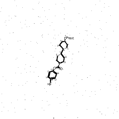 CCCCC[C@H]1CC[C@H]([C@H]2CC[C@H](C(=O)Oc3ccc(F)cc3)CC2)CC1